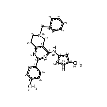 Cc1ccc(-c2nc3c(c(Nc4cc(C)[nH]n4)n2)CN(Cc2ccccc2)CC3)cc1